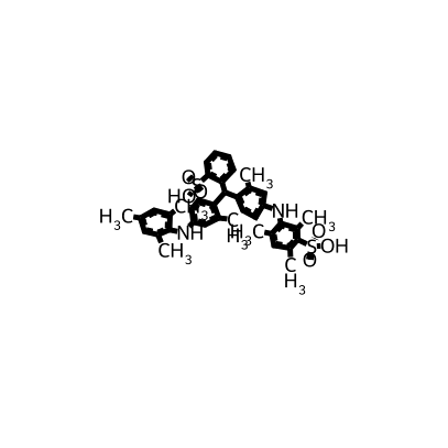 Cc1cc(C)c(Nc2ccc(C(c3ccc(Nc4c(C)cc(C)c(S(=O)(=O)O)c4C)cc3C)c3ccccc3S(=O)(=O)O)c(C)c2)c(C)c1